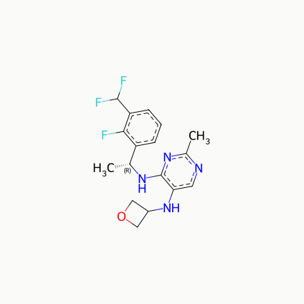 Cc1ncc(NC2COC2)c(N[C@H](C)c2cccc(C(F)F)c2F)n1